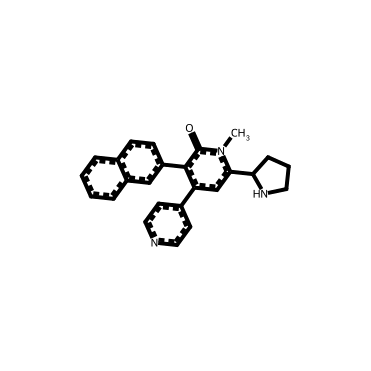 Cn1c(C2CCCN2)cc(-c2ccncc2)c(-c2ccc3ccccc3c2)c1=O